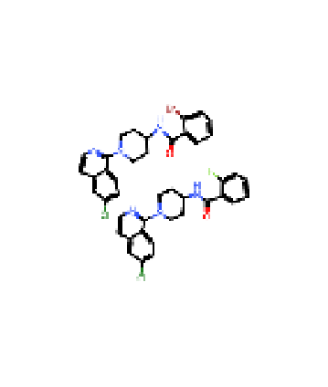 O=C(NC1CCN(c2nccc3cc(Cl)ccc23)CC1)c1ccccc1Br.O=C(NC1CCN(c2nccc3cc(Cl)ccc23)CC1)c1ccccc1F